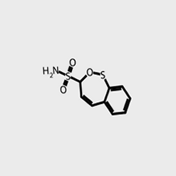 NS(=O)(=O)C1C=Cc2ccccc2SO1